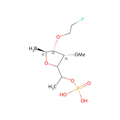 B[C@@H]1OC(C(C)OP(=O)(O)O)[C@@H](OC)[C@H]1OCCF